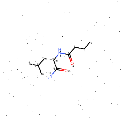 CCCC(=O)N[C@@H](CC(C)C)C(N)=O